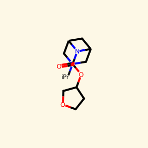 CC(C)N1CC2CC(C1)N2C(=O)OC1CCOC1